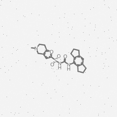 CN1CCc2oc(S(=O)(=O)NC(=O)Nc3c4c(cc5c3CCC5)CCC4)cc2C1